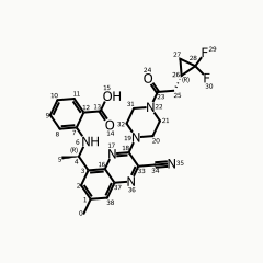 Cc1cc([C@@H](C)Nc2ccccc2C(=O)O)c2nc(N3CCN(C(=O)C[C@@H]4CC4(F)F)CC3)c(C#N)nc2c1